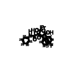 CC(C)C1(O)OC(O)(c2ccc(F)cc2)C2(c3ccccc3)OC12OC(=O)Nc1ccccc1